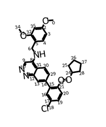 COc1ccc(CNc2cnnc3cc(-c4cc(Cl)ccc4OOC4CCCC4)ccc23)c(OC)c1